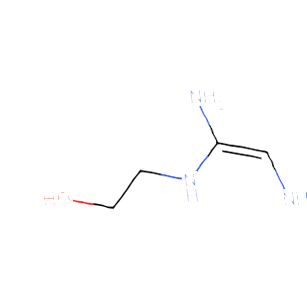 NC=C(N)NCCO